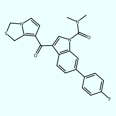 CN(C)C(=O)n1cc(C(=O)c2ccn3c2CSC3)c2ccc(-c3ccc(F)cc3)cc21